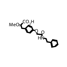 CO[C@@H](Cc1ccc(OCC(=O)NCCc2ccccc2)cc1)C(=O)O